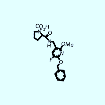 COc1nc(OCc2ccccc2)c(F)cc1CNC(=O)C1CCCN1C(=O)O